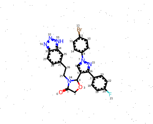 O=C1COC(c2cn(-c3ccc(Br)cc3)nc2-c2ccc(F)cc2)N1CCc1ccc2nn[nH]c2c1